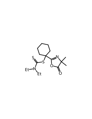 CCN(CC)C(=S)SC1(C2=NC(C)(C)C(=O)O2)CCCCC1